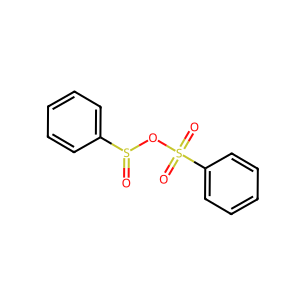 O=S(OS(=O)(=O)c1ccccc1)c1ccccc1